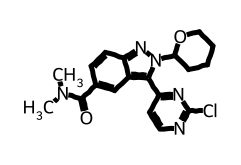 CN(C)C(=O)c1ccc2nn(C3CCCCO3)c(-c3ccnc(Cl)n3)c2c1